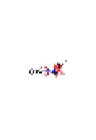 CCCC[Si](O)(OC)O[Si](CCCC)(OC)O[Si](O)(CCCNC(=O)Oc1ccc(C(C)(C)c2ccccc2)cc1)OC